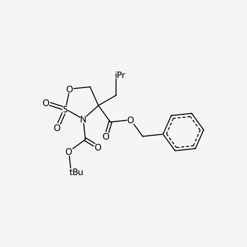 CC(C)CC1(C(=O)OCc2ccccc2)COS(=O)(=O)N1C(=O)OC(C)(C)C